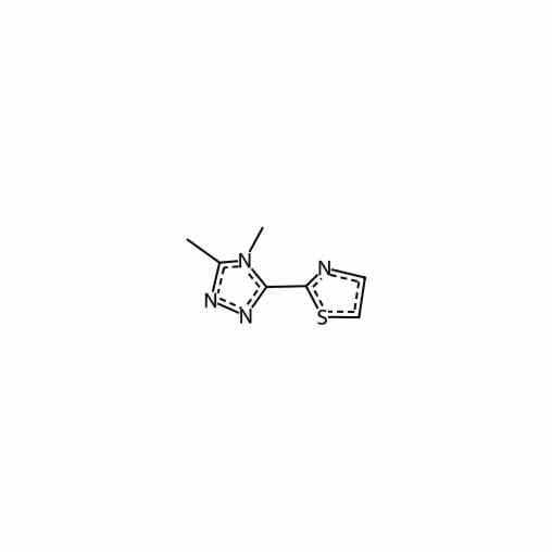 Cc1nnc(-c2nccs2)n1C